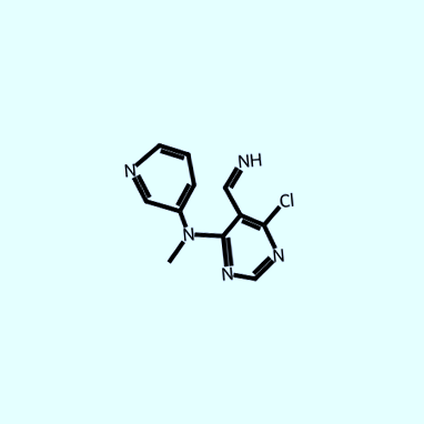 CN(c1cccnc1)c1ncnc(Cl)c1C=N